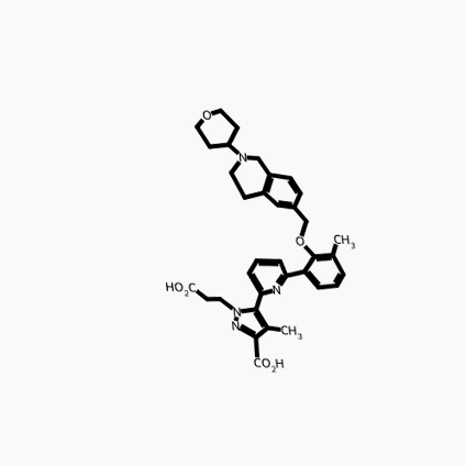 Cc1cccc(-c2cccc(-c3c(C)c(C(=O)O)nn3CCC(=O)O)n2)c1OCc1ccc2c(c1)CCN(C1CCOCC1)C2